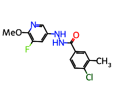 COc1ncc(NNC(=O)c2ccc(Cl)c(C)c2)cc1F